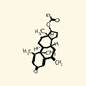 C=C1C[C@@H]2[C@H](CC[C@]3(C)[C@@H](OC(=O)CC)CC[C@@H]23)[C@@]2(C)C(C)=CC(=O)C=C12